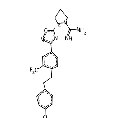 CCCOc1ccc(CCc2ccc(-c3noc([C@@H]4CCCN4C(=N)N)n3)cc2C(F)(F)F)cc1